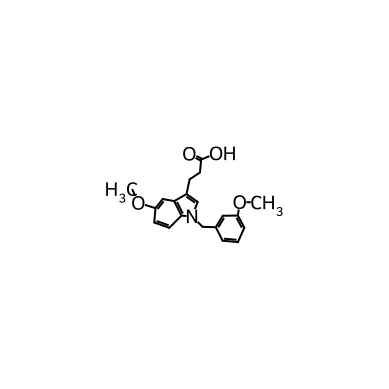 COc1cccc(Cn2cc(CCC(=O)O)c3cc(OC)ccc32)c1